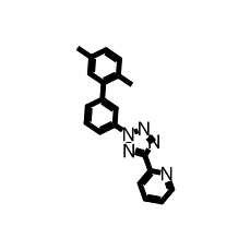 Cc1ccc(C)c(-c2cccc(-n3nnc(-c4ccccn4)n3)c2)c1